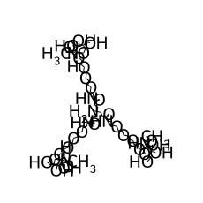 CC(=O)NC1C(OCCOCCOCCOCCNC(=O)CCC(N)(CCC(=O)NCCOCCOCCOCCOC2OC(CO)C(O)C(O)C2NC(C)=O)CCC(=O)NCCOCCOCCOCCOC2OC(CO)C(O)C(O)C2NC(C)=O)OCC(CO)C(O)C1O